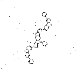 c1ccc(-c2ccc3oc4ccc(-c5ccc6[nH]c7cc8c9cc(-c%10ccc%11oc%12ccc(-c%13ccccc%13)cc%12c%11c%10)ccc9n(-c9ccccc9)c8cc7c6c5)cc4c3c2)cc1